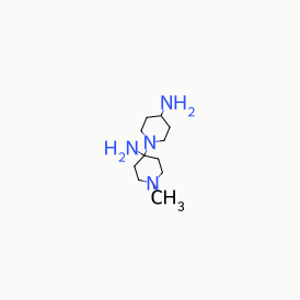 CN1CCC(N)(N2CCC(N)CC2)CC1